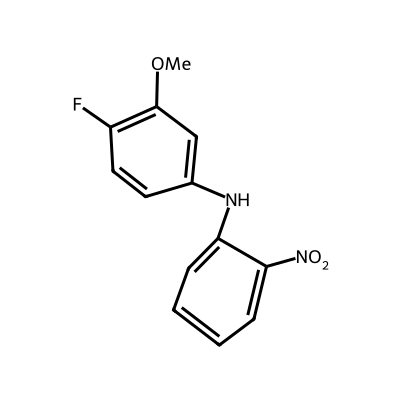 COc1cc(Nc2ccccc2[N+](=O)[O-])ccc1F